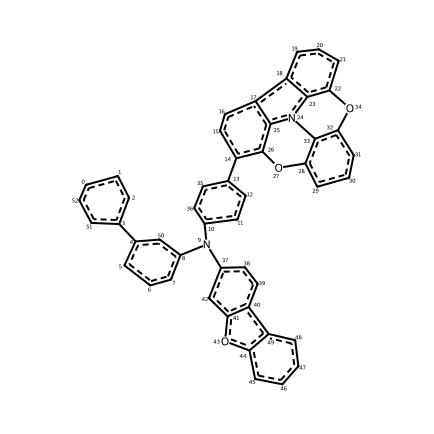 c1ccc(-c2cccc(N(c3ccc(-c4ccc5c6cccc7c6n6c5c4Oc4cccc(c4-6)O7)cc3)c3ccc4c(c3)oc3ccccc34)c2)cc1